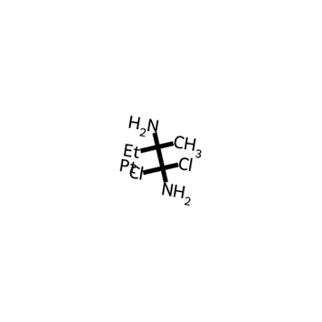 CCC(C)(N)C(N)(Cl)Cl.[Pt]